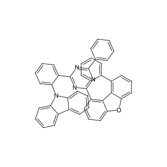 c1ccc(-c2nc(-c3ccccc3-n3c4ccccc4c4ccccc43)nc(-c3cccc4oc5cccc(-c6ccccc6)c5c34)n2)cc1